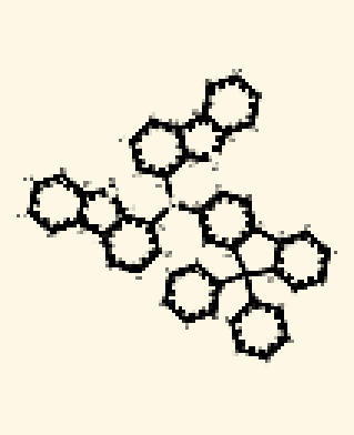 c1ccc(C2(c3ccccc3)c3ccccc3-c3ccc(N(c4cccc5c4oc4ccccc45)c4cccc5c4oc4ccccc45)cc32)cc1